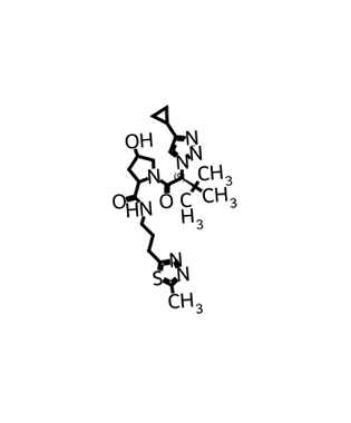 Cc1nnc(CCCNC(=O)C2CC(O)CN2C(=O)[C@@H](n2cc(C3CC3)nn2)C(C)(C)C)s1